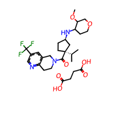 COC1COCCC1N[C@@H]1CC[C@@](C(=O)N2CCc3ncc(C(F)(F)F)cc3C2)(C(C)C)C1.O=C(O)CCC(=O)O